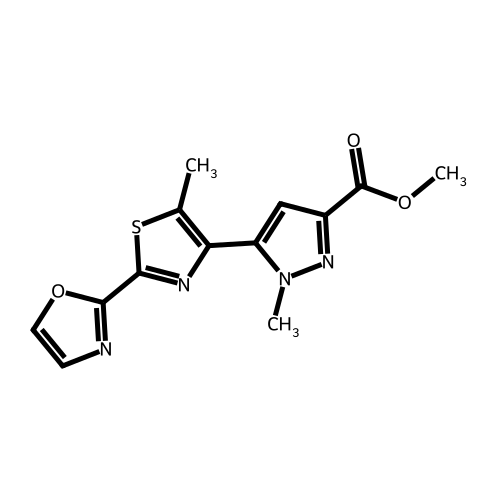 COC(=O)c1cc(-c2nc(-c3ncco3)sc2C)n(C)n1